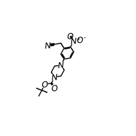 CC(C)(C)OC(=O)N1CCN(c2ccc([N+](=O)[O-])c(CC#N)c2)CC1